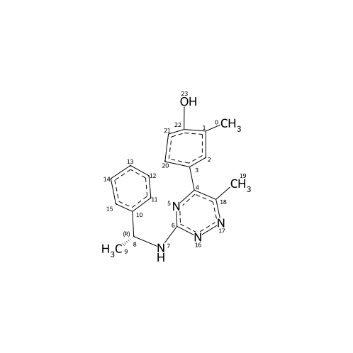 Cc1cc(-c2nc(N[C@H](C)c3ccccc3)nnc2C)ccc1O